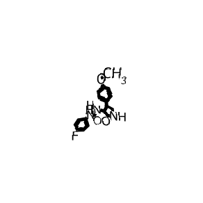 COc1ccc(C2CNC(=O)C2NC(=O)Nc2ccc(F)cc2)cc1